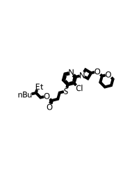 CCCCC(CC)COC(=O)CCSc1ccnc(N2CC(OC3CCCCO3)C2)c1Cl